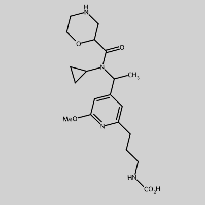 COc1cc(C(C)N(C(=O)C2CNCCO2)C2CC2)cc(CCCNC(=O)O)n1